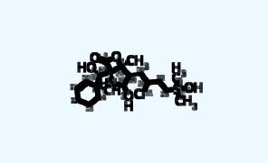 C[C@@]12OC(=O)[C@]1([C@@H](O)[C@]1(C)C=CCCC1)NC(O)[C@@H]2CC(Cl)CC[Si](C)(C)O